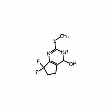 CSC1=NC2=C(CCC2(F)F)C(O)N1